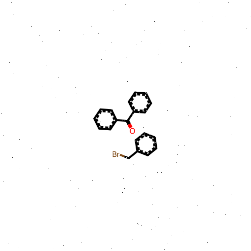 BrCc1ccccc1.O=C(c1ccccc1)c1ccccc1